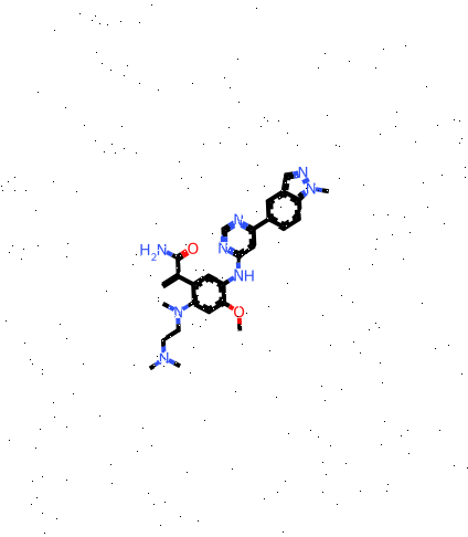 C=C(C(N)=O)c1cc(Nc2cc(-c3ccc4c(cnn4C)c3)ncn2)c(OC)cc1N(C)CCN(C)C